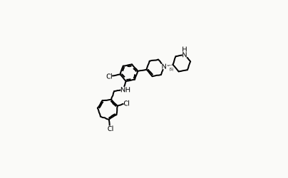 ClC1=CC(Cl)=C(CNc2cc(C3=CCN([C@H]4CCCNC4)CC3)ccc2Cl)C=CC1